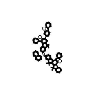 CC1(C)c2cc(N(c3ccc4c(c3)C(C)(C)c3c5c(c6oc7ccccc7c6c3-4)-c3ccccc3C5(C)C)c3cccc4ccccc34)ccc2-c2c1cc(-c1ccc3c(c1)oc1ccccc13)c1oc3ccccc3c21